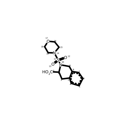 O=C(O)C1Cc2ccccc2CN1S(=O)(=O)N1CCOCC1